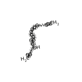 C=C=COOCCCCCCOc1ccc(OCOc2ccc3cc(OC(=O)c4ccc(C(O)CCCCCOC(=O)C=C)cc4)ccc3c2)cc1